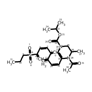 C=C(/C=C\C(=C)S(=O)(=O)CCC)C(=C)/C=C\C1=CN(C(=O)OC(C)C)CC(C)N1C(C)=O